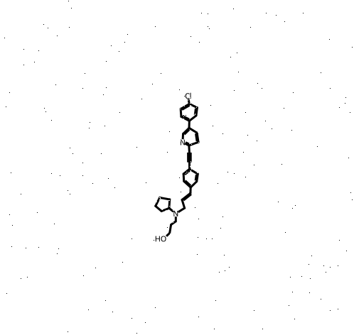 OCCCN(CC=Cc1ccc(C#Cc2ccc(-c3ccc(Cl)cc3)cn2)cc1)C1CCCC1